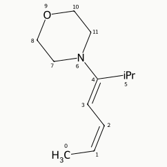 C/C=C\C=C(/C(C)C)N1CCOCC1